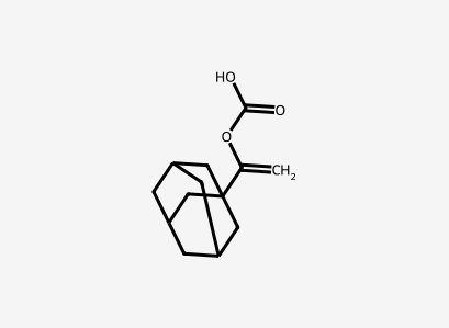 C=C(OC(=O)O)C12CC3CC(CC(C3)C1)C2